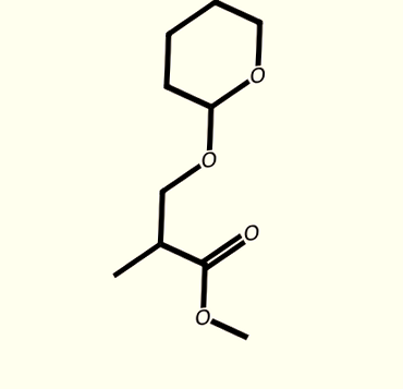 COC(=O)C(C)COC1CCCCO1